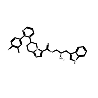 Cc1cc(-c2ncccc2C2CCc3ncc(C(=O)OC[C@H](N)Cc4c[nH]c5ccccc45)n3C2)ccc1F